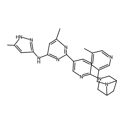 Cc1cncc(CN2C3CC2CN(c2ccc(-c4nc(C)cc(Nc5cc(C)[nH]n5)n4)cn2)C3)c1